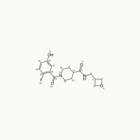 O=C(NCC1COC1)C1CCN(C(=O)c2cc(O)ccc2F)CC1